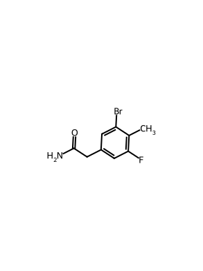 Cc1c(F)cc(CC(N)=O)cc1Br